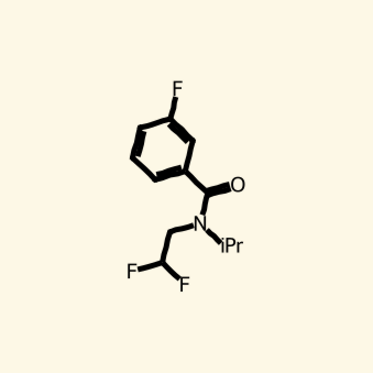 CC(C)N(CC(F)F)C(=O)c1cccc(F)c1